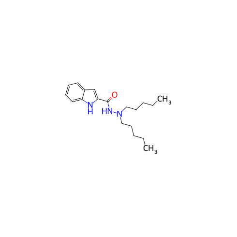 CCCCCN(CCCCC)NC(=O)c1cc2ccccc2[nH]1